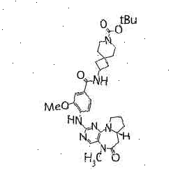 COc1cc(C(=O)NC2CC3(CCN(C(=O)OC(C)(C)C)CC3)C2)ccc1Nc1ncc2c(n1)N1CCC[C@@H]1CC(=O)N2C